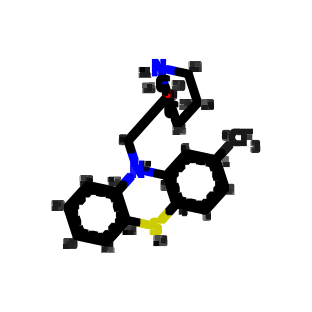 FC(F)(F)c1ccc2c(c1)N(CC1CN3CCC1CC3)c1ccccc1S2